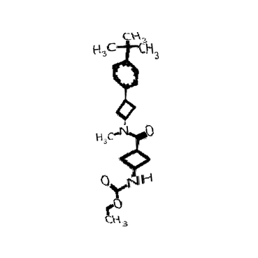 CCOC(=O)N[C@H]1C[C@@H](C(=O)N(C)[C@H]2C[C@H](c3ccc(C(C)(C)C)cc3)C2)C1